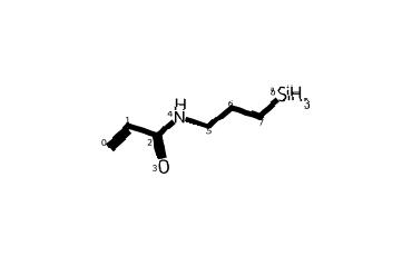 C=CC(=O)NCCC[SiH3]